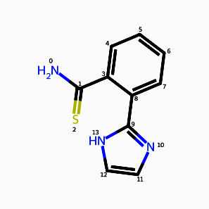 NC(=S)c1ccccc1-c1ncc[nH]1